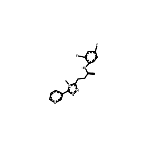 C=C(CCc1nnc(-c2cccnc2)n1C)Nc1ccc(F)cc1F